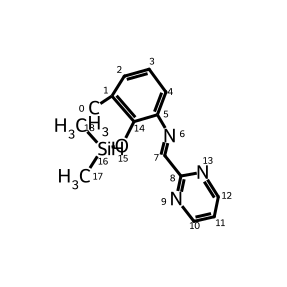 Cc1cccc(N=Cc2ncccn2)c1O[SiH](C)C